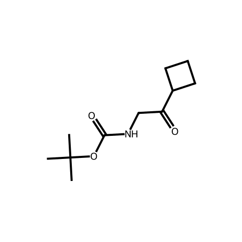 CC(C)(C)OC(=O)NCC(=O)C1CCC1